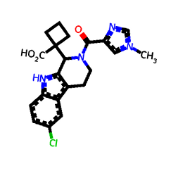 Cn1cnc(C(=O)N2CCc3c([nH]c4ccc(Cl)cc34)C2C2(C(=O)O)CCC2)c1